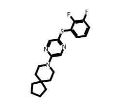 Fc1cccc(Sc2cnc(N3CCC4(CCCC4)CC3)cn2)c1F